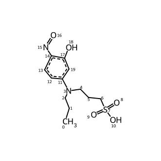 CCCN(CCCS(=O)(=O)O)c1ccc(N=O)c(O)c1